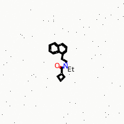 CCN(CCc1cccc2ccccc12)C(=O)C1CCC1